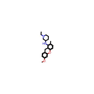 CCN1CCCC(Nc2c(C)ccc3c2Cc2ccc(OC)cc2O3)C1